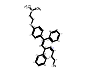 CN(C)CCOc1ccc(/C(=C/C(/C=C\CCO)c2ccccc2)c2ccccc2)cc1